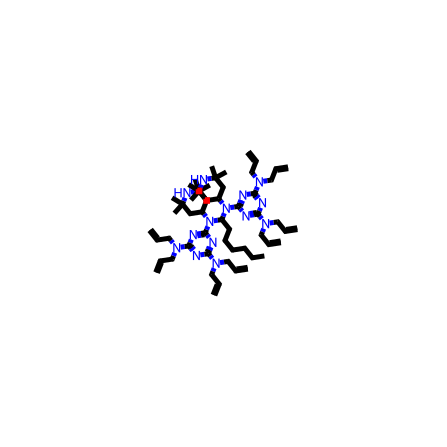 C=CCN(CC=C)c1nc(N(CC=C)CC=C)nc(N(C2CC(C)(C)NC(C)(C)C2)C(CCCCCC)N(c2nc(N(CC=C)CC=C)nc(N(CC=C)CC=C)n2)C2CC(C)(C)NC(C)(C)C2)n1